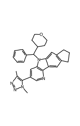 Cc1nnn(C)c1-c1cnc2c3cc4c(cc3n(C(c3ccccc3)C3CCOCC3)c2c1)CCC4